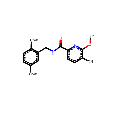 COc1ccc(OC)c(CNC(=O)c2ccc(C#N)c(OC(C)C)n2)c1